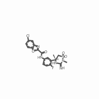 CN1C(=N)N[C@](C)(c2cc(NC(=O)c3nc4cc(Cl)ccc4o3)ccc2F)CS1(=O)=O